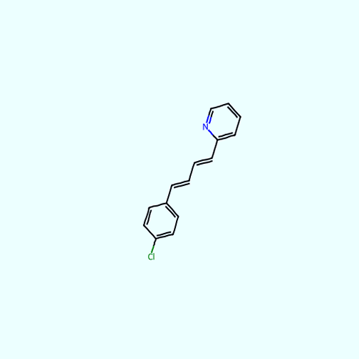 Clc1ccc(C=CC=Cc2ccccn2)cc1